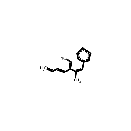 C=CC=CC(=CC#N)C(C)=Cc1ccccc1